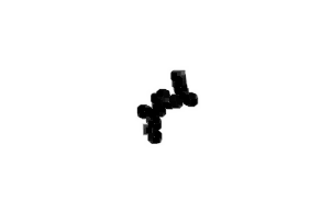 CC1(C)c2ccccc2-c2ccc(N(c3ccccc3)c3ccc4c(c3)Sc3cccc5c3c-4cc3ccc(N(c4ccccc4)c4ccc([Si](C)(C)C)cc4)cc35)cc21